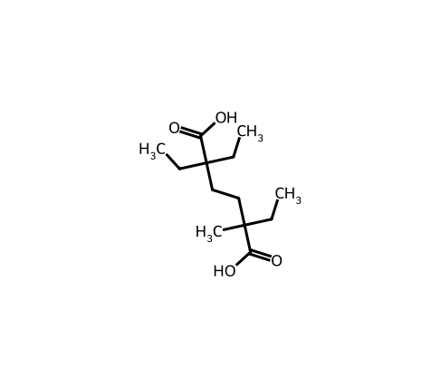 CCC(C)(CCC(CC)(CC)C(=O)O)C(=O)O